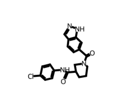 O=C(Nc1ccc(Cl)cc1)C1CCCN(C(=O)c2ccc3cn[nH]c3c2)C1